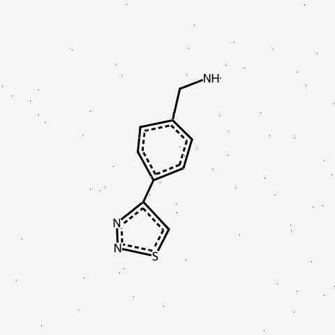 [NH]Cc1ccc(-c2csnn2)cc1